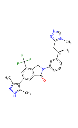 Cc1n[nH]c(C)c1-c1cc2c(c(C(F)(F)F)c1)CN(c1cccc([C@H](C)Cc3nncn3C)c1)C2=O